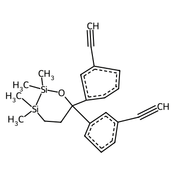 C#Cc1cccc(C2(c3cccc(C#C)c3)CC[Si](C)(C)[Si](C)(C)O2)c1